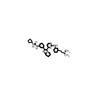 CN(C)CCc1cccc(Nc2nccc(-c3c(-c4cccc(NC(=O)NC5CCCC5)c4)nc4ccccn34)n2)c1